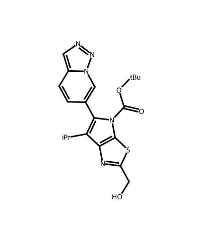 CC(C)c1c(-c2ccc3cnnn3c2)n(C(=O)OC(C)(C)C)c2sc(CO)nc12